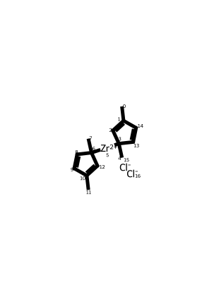 CC1=C[C](C)([Zr+2][C]2(C)C=CC(C)=C2)C=C1.[Cl-].[Cl-]